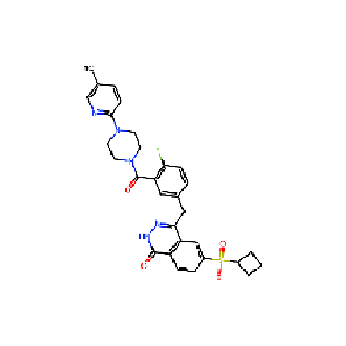 N#Cc1ccc(N2CCN(C(=O)c3cc(Cc4n[nH]c(=O)c5ccc(S(=O)(=O)C6CCC6)cc45)ccc3F)CC2)nc1